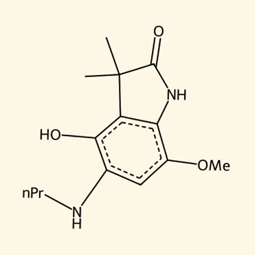 CCCNc1cc(OC)c2c(c1O)C(C)(C)C(=O)N2